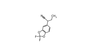 CCC(C#N)c1ccc2c(c1)OC(F)(F)O2